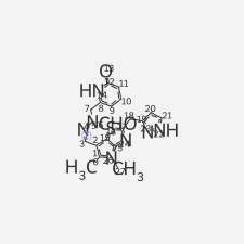 Cc1c(/C=N\N(C=O)Cc2cccc(=O)[nH]2)c2sc(Cc3cc[nH]n3)nc2n1C